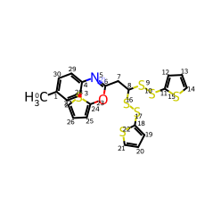 Cc1ccc(/N=C(/CC(SSc2cccs2)SSc2cccs2)Oc2cccs2)cc1